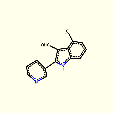 Cc1cccc2[nH]c(-c3cccnc3)c(C=O)c12